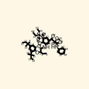 CCC(Oc1ccc(C(C)(C)CC)cc1C(C)(C)CC)C(=O)Nc1cc(C(=O)C(F)(OC)C(=O)Nc2ccccc2)cc(S(=O)(=O)N(CC)CC)c1OC